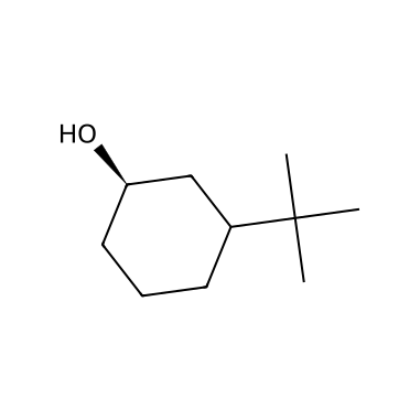 CC(C)(C)C1CCC[C@@H](O)C1